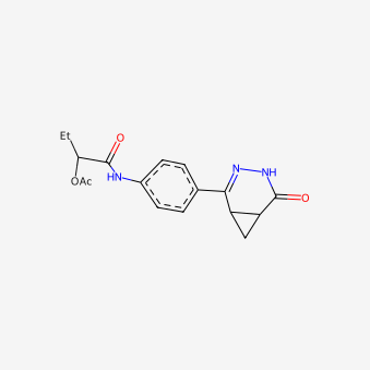 CCC(OC(C)=O)C(=O)Nc1ccc(C2=NNC(=O)C3CC23)cc1